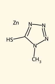 Cn1nnnc1S.[Zn]